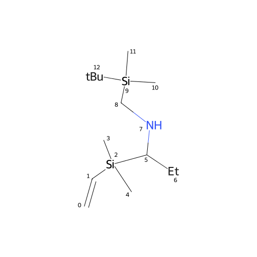 C=C[Si](C)(C)C(CC)NC[Si](C)(C)C(C)(C)C